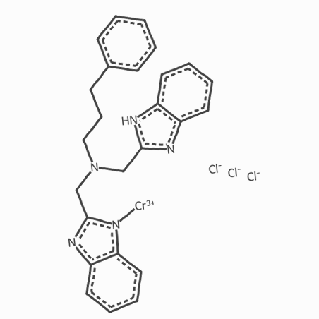 [Cl-].[Cl-].[Cl-].[Cr+3][n]1c(CN(CCCc2ccccc2)Cc2nc3ccccc3[nH]2)nc2ccccc21